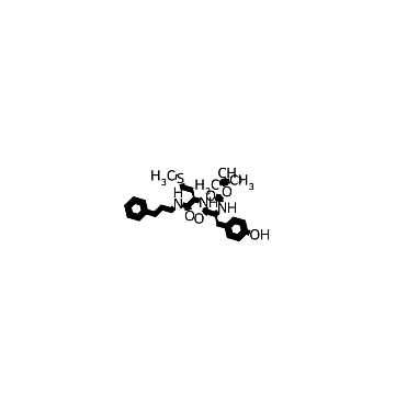 CSCC[C@@H](NC(=O)[C@H](Cc1ccc(O)cc1)NC(=O)OC(C)(C)C)C(=O)NCCCc1ccccc1